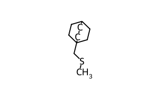 CSCC12CCC(CC1)CC2